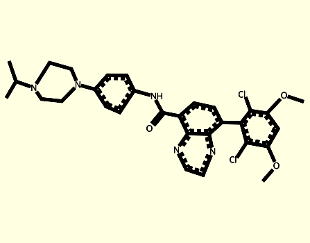 COc1cc(OC)c(Cl)c(-c2ccc(C(=O)Nc3ccc(N4CCN(C(C)C)CC4)cc3)c3nccnc23)c1Cl